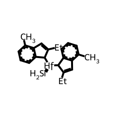 CCC1=Cc2c(C)cccc2[CH]1[Hf](=[SiH2])[CH]1C(CC)=Cc2c(C)cccc21